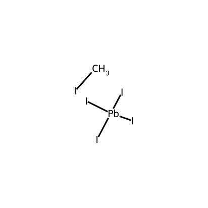 CI.[I][Pb]([I])([I])[I]